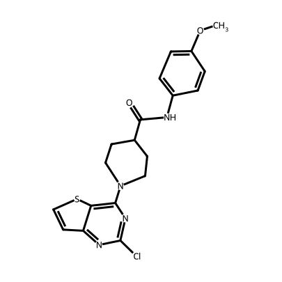 COc1ccc(NC(=O)C2CCN(c3nc(Cl)nc4ccsc34)CC2)cc1